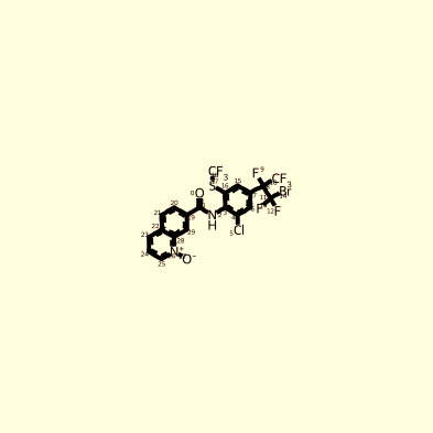 O=C(Nc1c(Cl)cc(C(F)(C(F)(F)F)C(F)(F)Br)cc1SC(F)(F)F)c1ccc2ccc[n+]([O-])c2c1